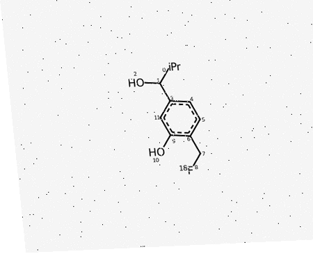 CC(C)C(O)c1ccc(C[18F])c(O)c1